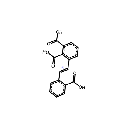 O=C(O)c1ccccc1/C=C/c1cccc(C(=O)O)c1C(=O)O